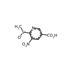 C[S+]([O-])c1ncc(C(=O)O)cc1[N+](=O)[O-]